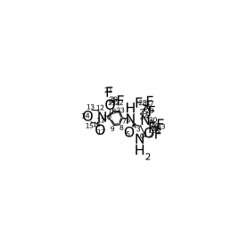 NC(=O)[C@H](C(=O)Nc1ccc(N2CCOCC2=O)c(OC(F)F)c1)N(CC(F)(F)F)CC(F)(F)F